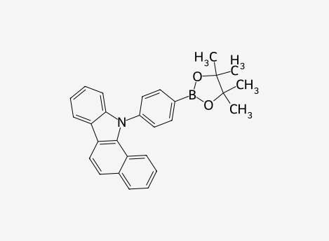 CC1(C)OB(c2ccc(-n3c4ccccc4c4ccc5ccccc5c43)cc2)OC1(C)C